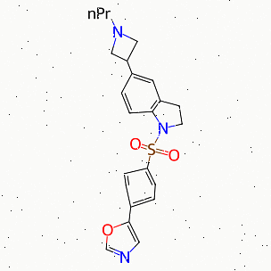 CCCN1CC(c2ccc3c(c2)CCN3S(=O)(=O)c2ccc(-c3cnco3)cc2)C1